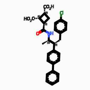 C[C@H](NC(=O)[C@@H]1C[C@@H](C(=O)O)[C@H]1C(=O)O)[C@H](Cc1ccc(Cl)cc1)c1ccc(-c2ccccc2)cc1